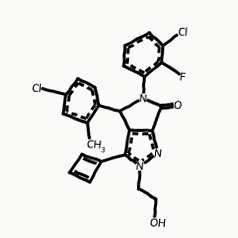 Cc1cc(Cl)ccc1C1c2c(nn(CCO)c2C2=CC=C2)C(=O)N1c1cccc(Cl)c1F